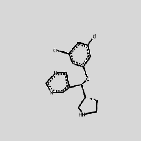 Clc1cc(Cl)cc(O[C@H](c2cncnc2)[C@@H]2CCNC2)c1